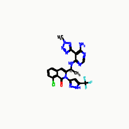 C[C@H](Nc1ncnc(N)c1-c1nnn(C)n1)c1cc2cccc(Cl)c2c(=O)n1-c1cc(C(F)(F)F)[nH]n1